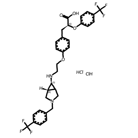 Cl.Cl.O=C(O)[C@H](Cc1ccc(OCCN[C@H]2C3CN(Cc4ccc(C(F)(F)F)cc4)C[C@@H]32)cc1)Oc1ccc(C(F)(F)F)cc1